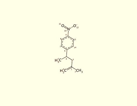 C=C(C)CC(C)c1ccc([N+](=O)[O-])cc1